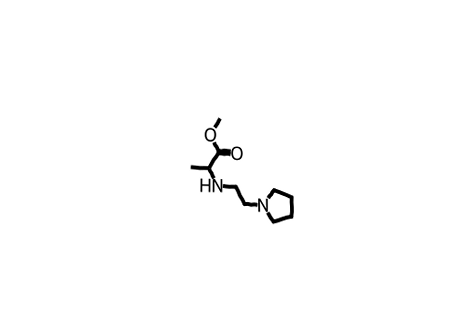 COC(=O)C(C)NCCN1CCCC1